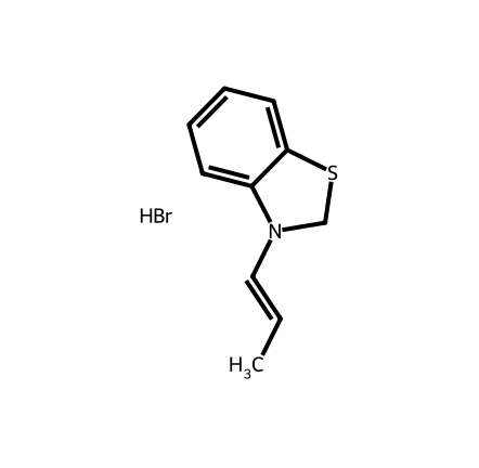 Br.CC=CN1CSc2ccccc21